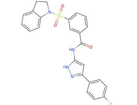 O=C(Nc1cc(-c2ccc(F)cc2)n[nH]1)c1cccc(S(=O)(=O)N2CCc3ccccc32)c1